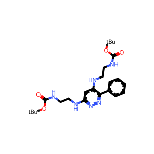 CC(C)(C)OC(=O)NCCNc1cc(NCCNC(=O)OC(C)(C)C)c(-c2ccccc2)nn1